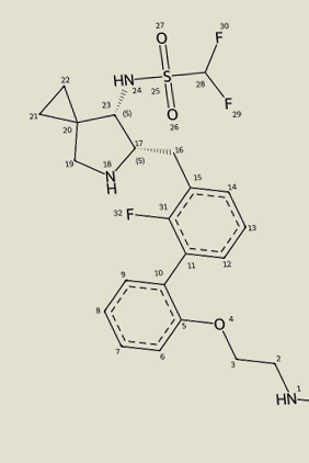 CNCCOc1ccccc1-c1cccc(C[C@@H]2NCC3(CC3)[C@@H]2NS(=O)(=O)C(F)F)c1F